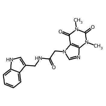 Cn1c(=O)c2c(ncn2CC(=O)NCc2c[nH]c3ccccc23)n(C)c1=O